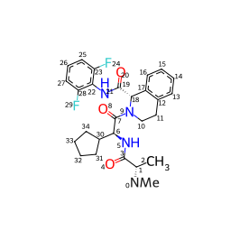 CN[C@@H](C)C(=O)N[C@H](C(=O)N1CCc2ccccc2[C@H]1C(=O)Nc1c(F)cccc1F)C1CCCC1